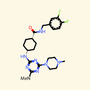 CNc1nc(N[C@H]2CC[C@@H](C(=O)NCc3ccc(F)c(F)c3)CC2)nc(N2CCN(C)CC2)n1